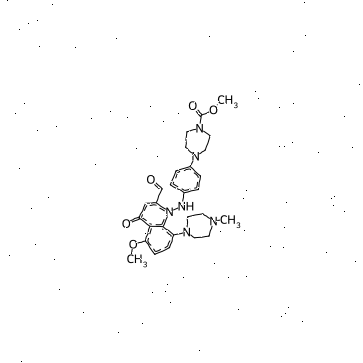 COC(=O)N1CCN(c2ccc(Nn3c(C=O)cc(=O)c4c(OC)ccc(N5CCN(C)CC5)c43)cc2)CC1